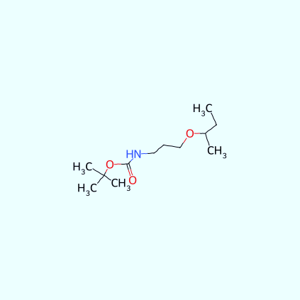 CCC(C)OCCCNC(=O)OC(C)(C)C